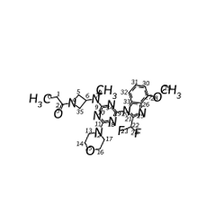 CCC(=O)N1CC(N(C)c2nc(N3CCOCC3)nc(-n3c(C(F)F)nc4c(OC)cccc43)n2)C1